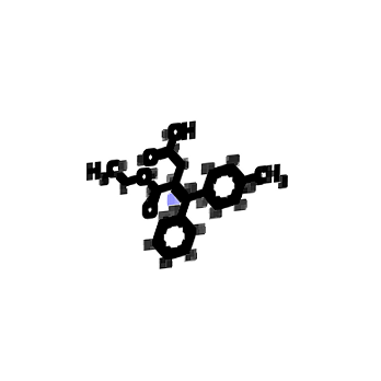 CCOC(=O)/C(CC(=O)O)=C(\c1ccccc1)c1ccc(C)cc1